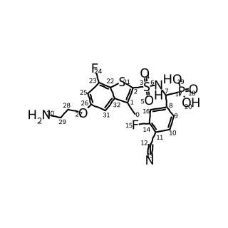 Cc1c(S(=O)(=O)NC(c2ccc(C#N)c(F)c2)P(=O)(O)O)sc2c(F)cc(OCCN)cc12